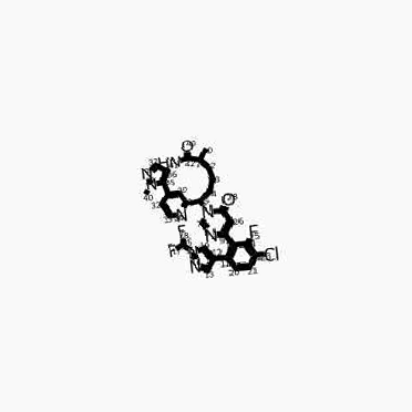 CC1CCCC(n2cnc(-c3c(-c4cnn(C(F)F)c4)ccc(Cl)c3F)cc2=O)c2cc(ccn2)-c2c(cnn2C)NC1=O